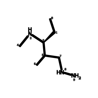 CC[C@H](NC)C(C)CNN